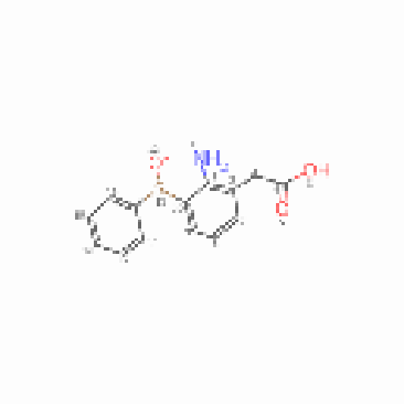 Nc1c(CC(=O)O)cccc1[S+]([O-])c1ccccc1